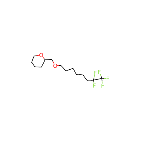 FC(F)(F)C(F)(F)CCCCCCOCC1CCCCO1